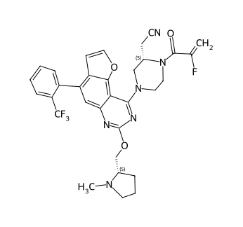 C=C(F)C(=O)N1CCN(c2nc(OC[C@@H]3CCCN3C)nc3cc(-c4ccccc4C(F)(F)F)c4ccoc4c23)C[C@@H]1CC#N